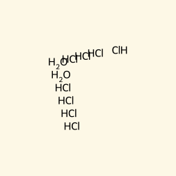 Cl.Cl.Cl.Cl.Cl.Cl.Cl.Cl.O.O